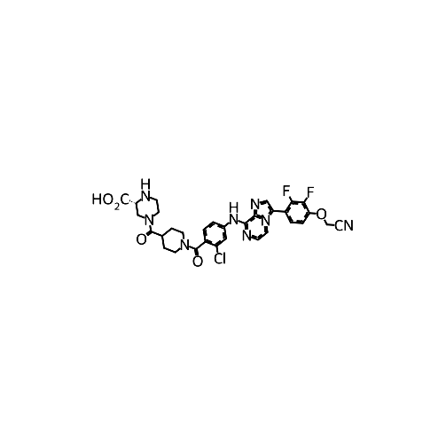 N#CCOc1ccc(-c2cnc3c(Nc4ccc(C(=O)N5CCC(C(=O)N6CCN[C@@H](C(=O)O)C6)CC5)c(Cl)c4)nccn23)c(F)c1F